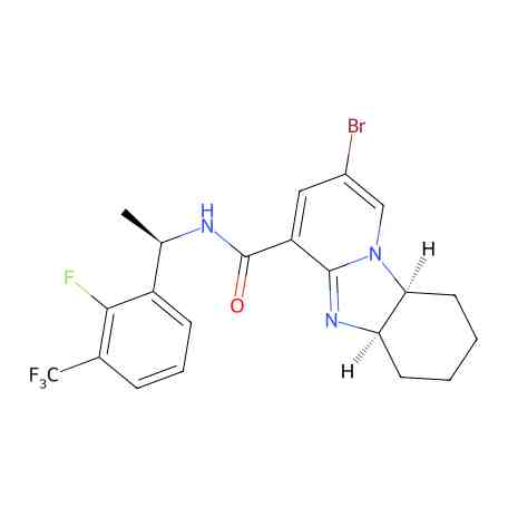 C[C@@H](NC(=O)C1=CC(Br)=CN2C1=N[C@@H]1CCCC[C@@H]12)c1cccc(C(F)(F)F)c1F